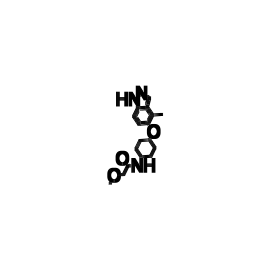 COCC(=O)NC1CCC(Oc2ccc3[nH]ncc3c2C)CC1